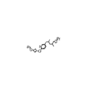 CC(COC(C)C)CC(C)Cc1ccc(OC2CC(OC(C)C)C2)nc1